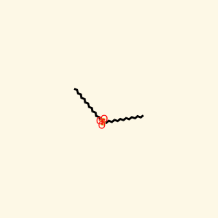 CCCCCCCCCCCCCCOS(=O)(=O)CCCCCCCCCCCCCC